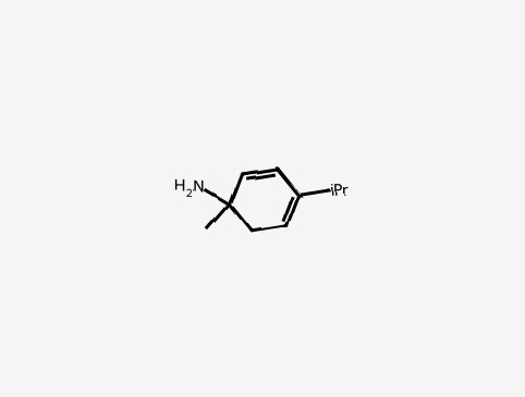 CC(C)C1=CCC(C)(N)C=C1